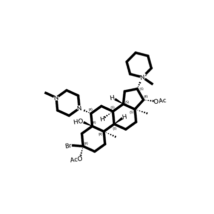 CC(=O)O[C@H]1[C@@H]([N+]2(C)CCCCC2)C[C@H]2[C@@H]3C[C@@H](N4CCN(C)CC4)[C@@]4(O)C[C@@](Br)(OC(C)=O)CC[C@]4(C)[C@H]3CC[C@@]21C